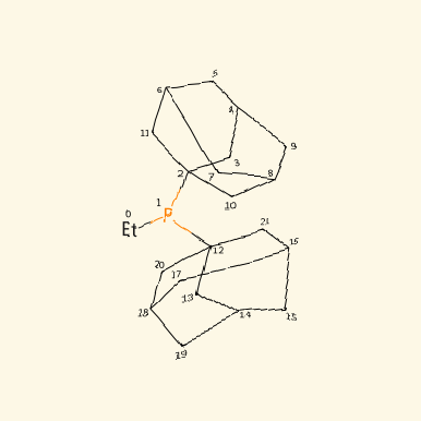 [CH2]CP(C12CC3CC(CC(C3)C1)C2)C12CC3CC(CC(C3)C1)C2